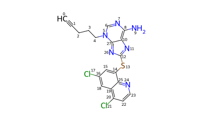 C#CCCCn1cnc(N)c2nc(Sc3cc(Cl)cc4c(Cl)ccnc34)nc1-2